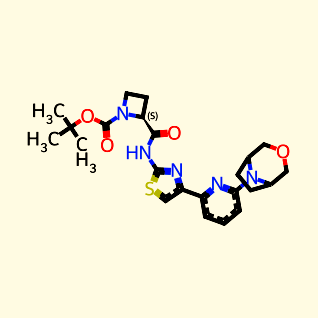 CC(C)(C)OC(=O)N1CC[C@H]1C(=O)Nc1nc(-c2cccc(N3C4CCC3COC4)n2)cs1